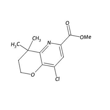 COC(=O)c1cc(Cl)c2c(n1)C(C)(C)CCO2